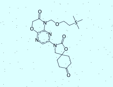 CS(C)(C)CCOCN1C(=O)COc2ncc(N3CC4(CCC(=O)CC4)OC3=O)nc21